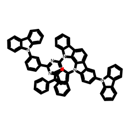 c1ccc(-c2ccc(-n3c4ccc(-n5c6ccccc6c6ccccc65)cc4c4ccc5c6ccccc6n(-c6nc(-c7ccccc7)nc(-c7cccc(-n8c9ccccc9c9ccccc98)c7)n6)c5c43)cc2)cc1